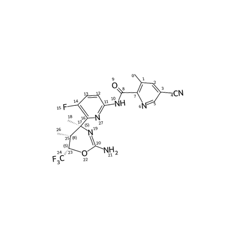 Cc1cc(C#N)cnc1C(=O)Nc1ccc(F)c([C@@]2(C)N=C(N)O[C@H](C(F)(F)F)[C@@H]2C)n1